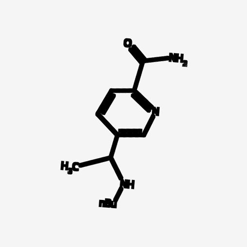 CCCCNC(C)c1ccc(C(N)=O)nc1